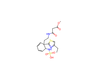 CCc1csc(C2(CCNC(=O)CC(=O)OC)C=CC=CC2NS(=O)(=O)O)n1